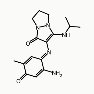 CC1=C/C(=N\c2c(NC(C)C)n3n(c2=O)CCC3)C(N)=CC1=O